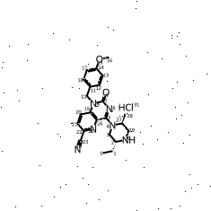 CC[C@@H]1CN(c2nc(=O)n(Cc3ccc(OC)cc3)c3ccc(C#N)nc23)[C@@H](C)CN1.Cl